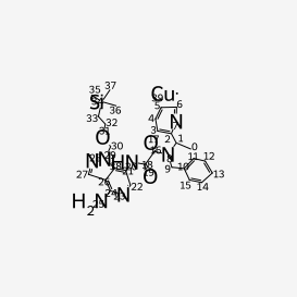 CC(c1ccccn1)N(Cc1ccccc1)C(=O)C(=O)Nc1cnc(N)c2cnn(COCC[Si](C)(C)C)c12.[Cu]